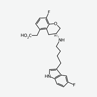 O=C(O)Cc1ccc(F)c2c1C[C@@H](NCCCCc1c[nH]c3ccc(F)cc13)CO2